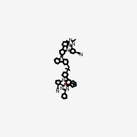 Cc1nc(C)nc(-c2cc(C#N)ccc2-n2c3ccccc3c3ccc(-n4c5ccccc5c5cc(CC(C)(C)c6ccc7c(c6)c6cc(C(C)(C)C)ccc6n7-c6cccc(C#N)c6-c6nc(-c7ccccc7)nc(-c7ccccc7)n6)ccc54)cc32)n1